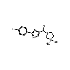 O=C(N1CCS(O)(O)C1)n1cnc(-c2ccc(Cl)cc2)n1